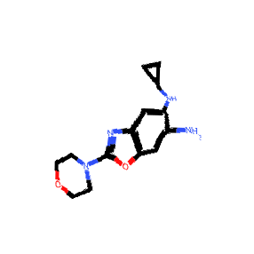 Nc1cc2oc(N3CCOCC3)nc2cc1NC1CC1